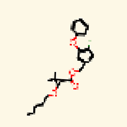 CCCCCOC1C(C(=O)OCc2ccc(F)c(Oc3ccccc3)c2)C1(C)C